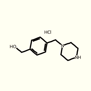 Cl.OCc1ccc(CN2CCNCC2)cc1